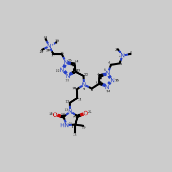 CN(C)CCn1cc(CN(CCCN2C(=O)NC(C)(C)C2=O)Cc2cn(CC[N+](C)(C)C)nn2)nn1